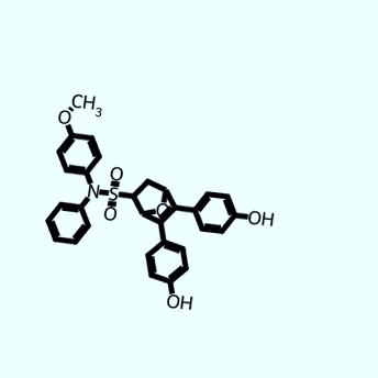 COc1ccc(N(c2ccccc2)S(=O)(=O)C2CC3OC2C(c2ccc(O)cc2)=C3c2ccc(O)cc2)cc1